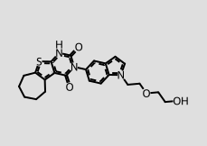 O=c1[nH]c2sc3c(c2c(=O)n1-c1ccc2c(ccn2CCOCCO)c1)CCCCC3